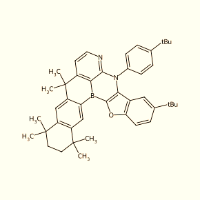 CC(C)(C)c1ccc(N2c3nccc4c3B(c3cc5c(cc3C4(C)C)C(C)(C)CCC5(C)C)c3oc4ccc(C(C)(C)C)cc4c32)cc1